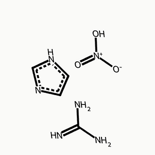 N=C(N)N.O=[N+]([O-])O.c1c[nH]cn1